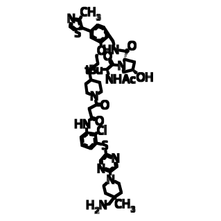 CC(=O)N[C@H](C(=O)N1C[C@H](O)C[C@H]1C(=O)NCc1ccc(-c2scnc2C)cc1OCCCC1CCN(C(=O)CC(=O)Nc2cccc(Sc3cnc(N4CCC(C)(CN)CC4)cn3)c2Cl)CC1)C(C)(C)C